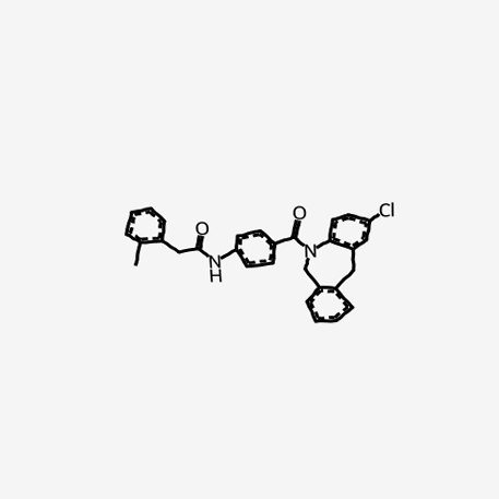 Cc1ccccc1CC(=O)Nc1ccc(C(=O)N2Cc3ccccc3Cc3cc(Cl)ccc32)cc1